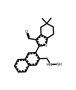 CC1(C)CCc2sc(-c3cc4ccccc4cc3CNS)c(C=O)c2C1